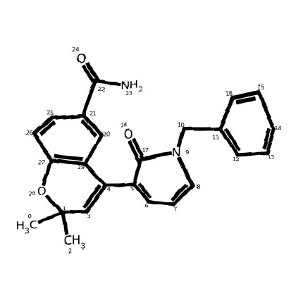 CC1(C)C=C(c2cccn(Cc3ccccc3)c2=O)c2cc(C(N)=O)ccc2O1